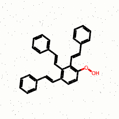 OOc1ccc(C=Cc2ccccc2)c(C=Cc2ccccc2)c1C=Cc1ccccc1